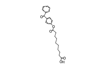 O=C(O)CCCCCCCCC(=O)Oc1ccc(C(=O)c2ccccc2)cc1